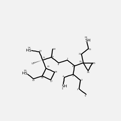 CCCC(CS)C(CCC(C)[C@](C)(CS)C1CCC1CS)C1(CCS)CC1